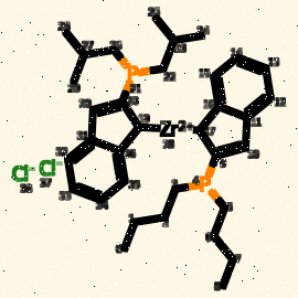 CCCCP(CCCC)C1=Cc2ccccc2[CH]1[Zr+2][CH]1C(P(CC(C)C)CC(C)C)=Cc2ccccc21.[Cl-].[Cl-]